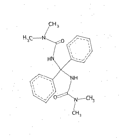 CN(C)C(=O)NC(NC(=O)N(C)C)(c1ccccc1)c1ccccc1